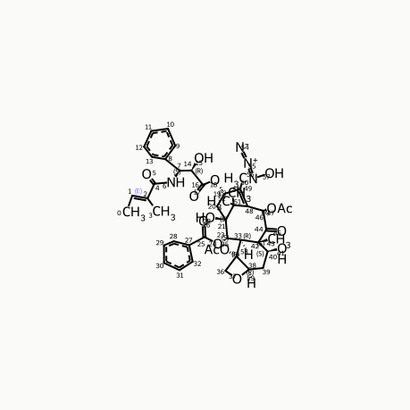 C/C=C(\C)C(=O)N[C@@H](c1ccccc1)[C@@H](O)C(=O)O[C@H]1C[C@@]2(O)[C@@H](OC(=O)c3ccccc3)[C@@H]3[C@]4(OC(C)=O)CO[C@@H]4C[C@H](O)[C@@]3(C)C(=O)[C@H](OC(C)=O)C(=C1C)C2(C)C.[N-]=[N+]=NO